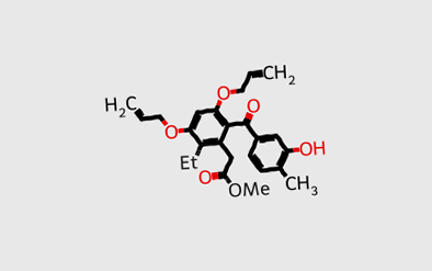 C=CCOc1cc(OCC=C)c(C(=O)c2ccc(C)c(O)c2)c(CC(=O)OC)c1CC